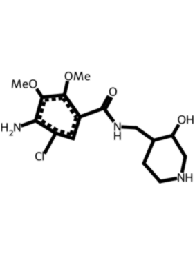 COc1c(C(=O)NCC2CCNCC2O)cc(Cl)c(N)c1OC